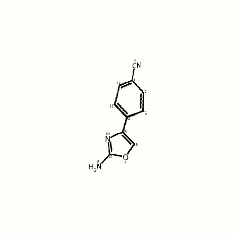 N#Cc1ccc(-c2coc(N)n2)cc1